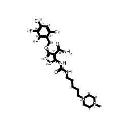 CN1CCN(CCCCCNC(=O)Nc2snc(OCc3c(F)cc(Cl)c(F)c3F)c2C(N)=O)CC1